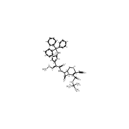 CON=C(C(=O)NC1C(=O)N2C(C(=O)OC(C)(C)C)=C(C#N)SCC12)c1csc(NC(c2ccccc2)(c2ccccc2)c2ccccc2)n1